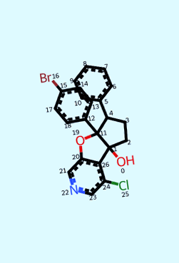 OC12CCC(c3ccccc3)C1(c1ccc(Br)cc1)Oc1cncc(Cl)c12